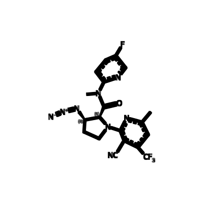 Cc1cc(C(F)(F)F)c(C#N)c(N2CC[C@@H](N=[N+]=[N-])[C@H]2C(=O)N(C)c2ccc(F)cn2)n1